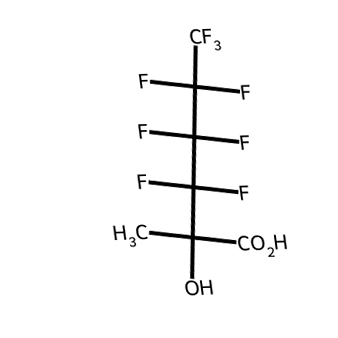 CC(O)(C(=O)O)C(F)(F)C(F)(F)C(F)(F)C(F)(F)F